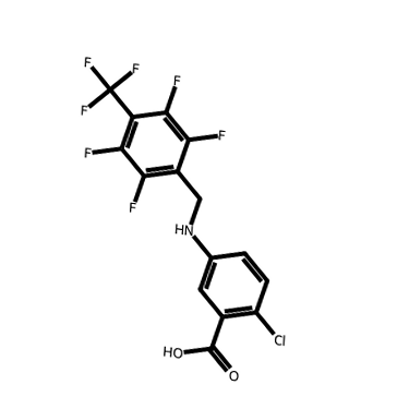 O=C(O)c1cc(NCc2c(F)c(F)c(C(F)(F)F)c(F)c2F)ccc1Cl